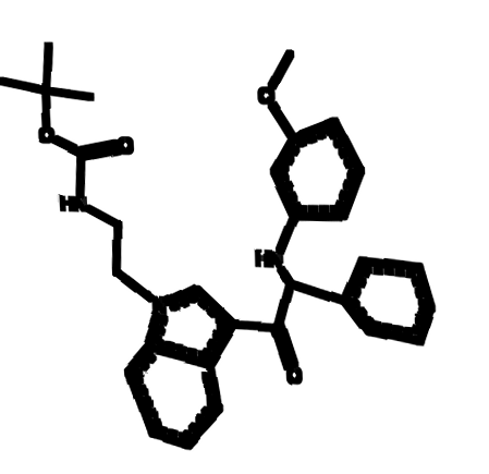 COc1cccc(NC(C(=O)c2cn(CCNC(=O)OC(C)(C)C)c3ccccc23)c2ccccc2)c1